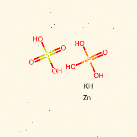 O=P(O)(O)O.O=S(=O)(O)O.[KH].[Zn]